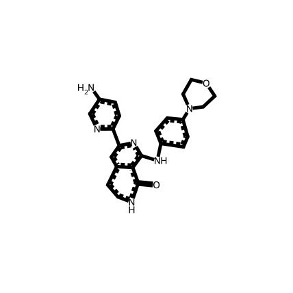 Nc1ccc(-c2cc3cc[nH]c(=O)c3c(Nc3ccc(N4CCOCC4)cc3)n2)nc1